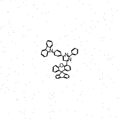 c1ccc(-c2nc(-c3ccc(-n4c5ccccc5c5ccccc54)cc3)cc(-c3cccc4c3Oc3ccccc3C43c4ccccc4-c4ccccc43)n2)cc1